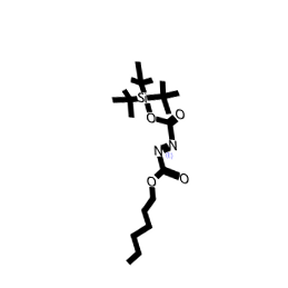 CCCCCCOC(=O)/N=N/C(=O)O[Si](C(C)(C)C)(C(C)(C)C)C(C)(C)C